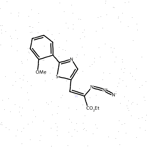 CCOC(=O)/C(=C/c1cnc(-c2ccccc2OC)s1)N=[N+]=[N-]